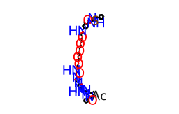 CC(=O)c1c(C)c2cnc(Nc3ccc(N4CCN(CC(=O)NCCOCCOCCOCCOCCOCCNc5ccc(C(=O)NC6=NCC(c7ccccc7)S6)c(C)c5)CC4)cn3)nc2n(C2CCCC2)c1=O